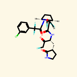 O=C1NCC[C@H]1C[C@@H](NC(=O)[C@H]1[C@@H]2CC[C@@H](CC2(F)F)N1C(=O)C(F)(F)c1cccc(Cl)c1)C(=O)CF